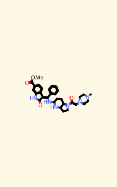 COC(=O)c1ccc2c(c1)NC(=O)/C2=C(\NC1CCC2C(CCN2C(=O)CN2CCN(C)CC2)N1)c1ccccc1